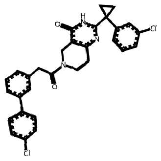 O=C(Cc1cccc(-c2ccc(Cl)cc2)c1)N1CCc2nc(C3(c4cccc(Cl)c4)CC3)[nH]c(=O)c2C1